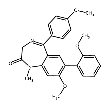 COc1ccc(C2=NCC(=O)N(C)c3cc(OC)c(-c4ccccc4OC)cc32)cc1